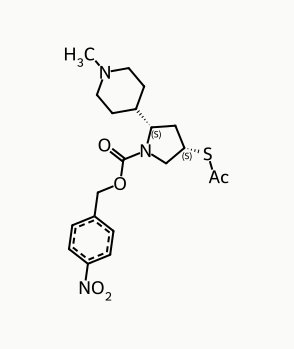 CC(=O)S[C@H]1C[C@@H](C2CCN(C)CC2)N(C(=O)OCc2ccc([N+](=O)[O-])cc2)C1